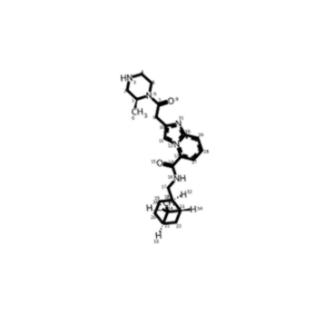 C[C@H]1CNCCN1C(=O)Cc1cn2c(C(=O)NC[C@@H]3CC[C@@H]4C[C@@H]3C4(C)C)cccc2n1